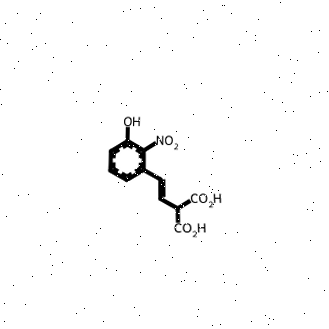 O=C(O)C(C=Cc1cccc(O)c1[N+](=O)[O-])C(=O)O